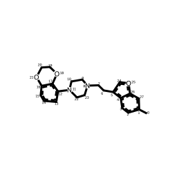 Cc1ccc2c(CCN3CCN(c4cccc5c4OCCO5)CC3)coc2c1